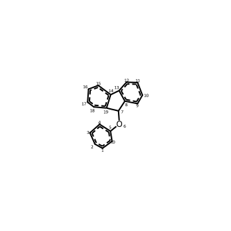 [c]1ccccc1OC1c2ccccc2-c2ccccc21